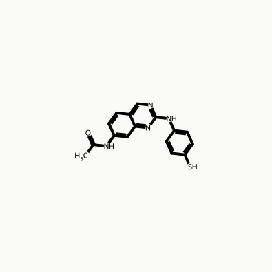 CC(=O)Nc1ccc2cnc(Nc3ccc(S)cc3)nc2c1